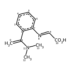 C=C(c1ccccc1/N=C/C(=O)O)N(C)C